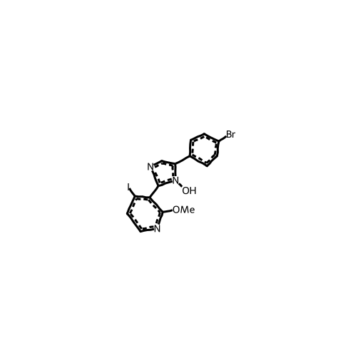 COc1nccc(I)c1-c1ncc(-c2ccc(Br)cc2)n1O